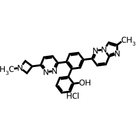 Cc1cn2nc(-c3ccc(-c4ccc(C5CN(C)C5)nn4)c(-c4ccccc4O)c3)ccc2n1.Cl